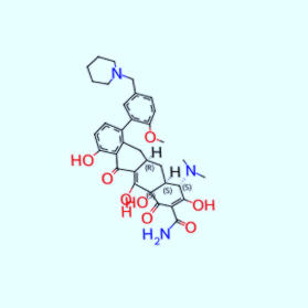 COc1ccc(CN2CCCCC2)cc1-c1ccc(O)c2c1C[C@H]1C[C@H]3[C@H](N(C)C)C(O)=C(C(N)=O)C(=O)[C@@]3(O)C(O)=C1C2=O